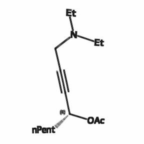 CCCCC[C@H](C#CCN(CC)CC)OC(C)=O